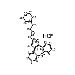 Cl.c1ccc2c(c1)Sc1ccccc1-c1sc(COCCN3CCOCC3)cc1-2